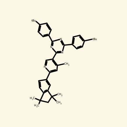 Cc1cc(-c2ccc3c(c2)C(C)(C)CC3(C)C)ncc1-c1nc(-c2ccc(C(C)(C)C)cc2)nc(-c2ccc(C(C)(C)C)cc2)n1